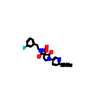 CC(=O)Nc1ccc(N2CCC(O)(C(=O)NCCc3cccc(F)c3)C2=O)cn1